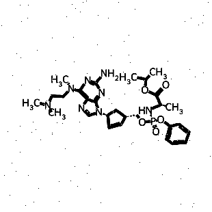 CC(C)OC(=O)[C@H](C)N[P@](=O)(OC[C@@H]1C=C[C@H](n2cnc3c(N(C)CCN(C)C)nc(N)nc32)C1)Oc1ccccc1